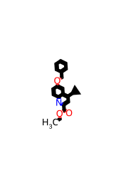 CCOC(=O)c1cc(C2CC2)c2cc(OCc3ccccc3)ccc2n1